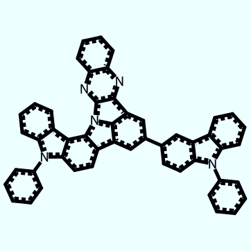 c1ccc(-n2c3ccccc3c3cc(-c4cc5c6ccc7c(c8ccccc8n7-c7ccccc7)c6n6c7nc8ccccc8nc7c(c4)c56)ccc32)cc1